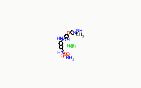 CC(=N)N1CCC(Oc2ccc(NC(=N)c3ccc4ccc(CNC(=O)OS(N)(=O)=O)cc4c3)cc2)CC1.Cl.Cl